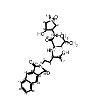 CC(C)C[C@@H](NC(CCN1C(=O)c2cc3ccccc3cc2C1=O)C(=O)O)C(=O)NC1CS(=O)(=O)CC1O